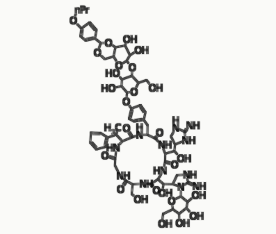 CCCOc1ccc(C2OCC3OC(OC4C(CO)OC(Oc5ccc(CC6NC(=O)C(C(C)c7ccccc7)NC(=O)CNC(=O)C(CO)NC(=O)C(C(O)C7CNC(=N)N7C7OC(CO)C(O)C(O)C7O)NC(=O)C(C(O)C7CNC(=N)N7)NC6=O)cc5)C(O)C4O)C(O)C(O)C3O2)cc1